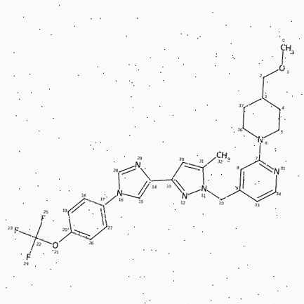 COCC1CCN(c2cc(Cn3nc(-c4cn(-c5ccc(OC(F)(F)F)cc5)cn4)cc3C)ccn2)CC1